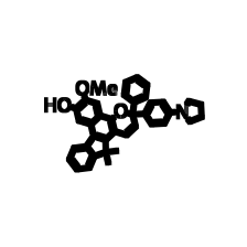 COc1cc2c3c(c4c(c2cc1O)-c1ccccc1C4(C)C)C=CC(c1ccccc1)(c1ccc(N2CCCC2)cc1)O3